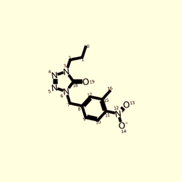 CCCn1nnn(Cc2ccc([N+](=O)[O-])c(C)c2)c1=O